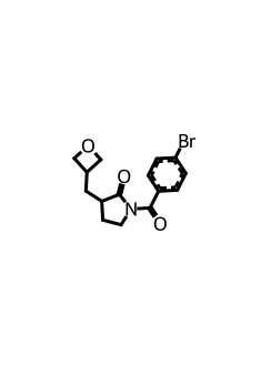 O=C(c1ccc(Br)cc1)N1CCC(CC2COC2)C1=O